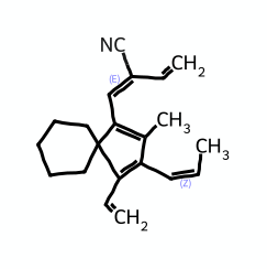 C=CC1=C(/C=C\C)C(C)=C(/C=C(/C#N)C=C)C12CCCCC2